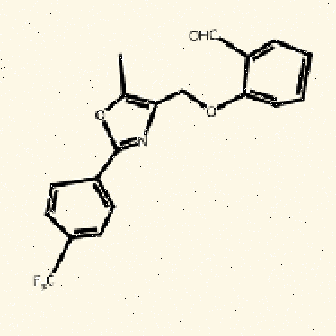 Cc1oc(-c2ccc(C(F)(F)F)cc2)nc1COc1ccccc1C=O